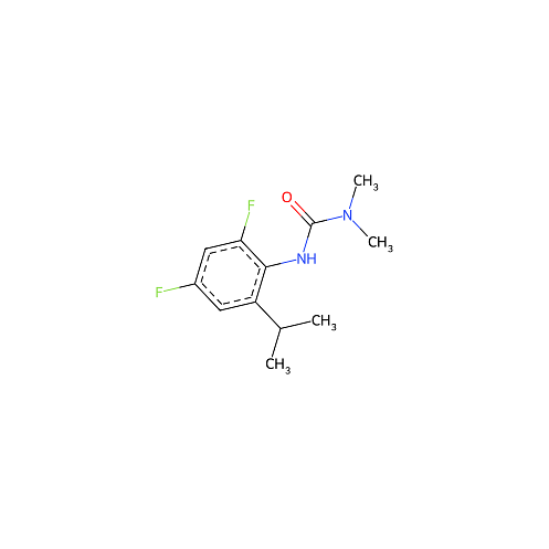 CC(C)c1cc(F)cc(F)c1NC(=O)N(C)C